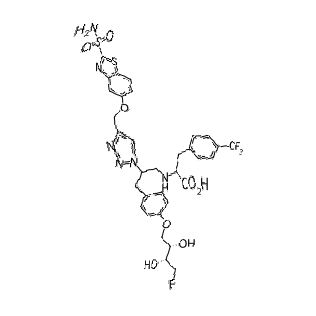 NS(=O)(=O)c1nc2cc(OCc3cn(C(CNC(Cc4ccc(C(F)(F)F)cc4)C(=O)O)Cc4ccc(OC[C@H](O)[C@@H](O)CF)cc4)nn3)ccc2s1